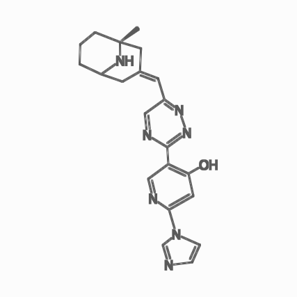 C[C@@]12CCCC(C/C(=C\c3cnc(-c4cnc(-n5ccnc5)cc4O)nn3)C1)N2